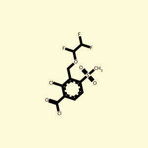 CS(=O)(=O)c1ccc(C(=O)Cl)c(Cl)c1COC(F)C(F)F